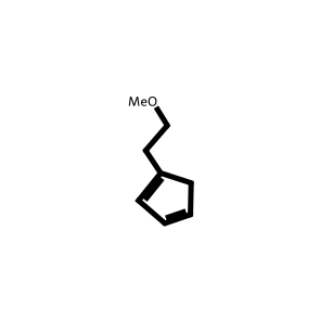 COCCC1=CC=CC1